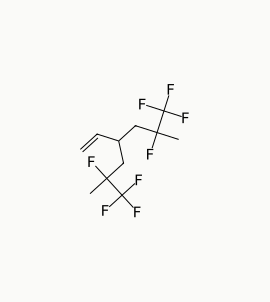 C=CC(CC(C)(F)C(F)(F)F)CC(C)(F)C(F)(F)F